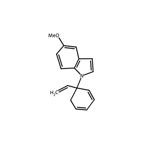 C=CC1(n2ccc3cc(OC)ccc32)C=CC=CC1